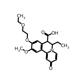 CCOCCOc1cc2c(cc1OC)-c1cc(=O)ccn1C(CC)C2C(=O)O